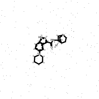 O=C(N[C@H]1CN2CCC1CC2)c1n[nH]c2ccc(N3CCCCC3)cc12